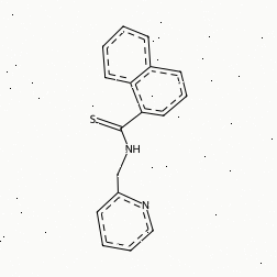 S=C(NCc1ccccn1)c1cccc2ccccc12